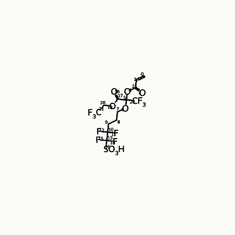 C=CC(=O)OC(OCCCC(F)(F)C(F)(F)S(=O)(=O)O)(C(=O)OCC(F)(F)F)C(F)(F)F